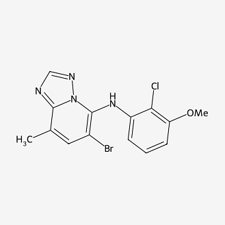 COc1cccc(Nc2c(Br)cc(C)c3ncnn23)c1Cl